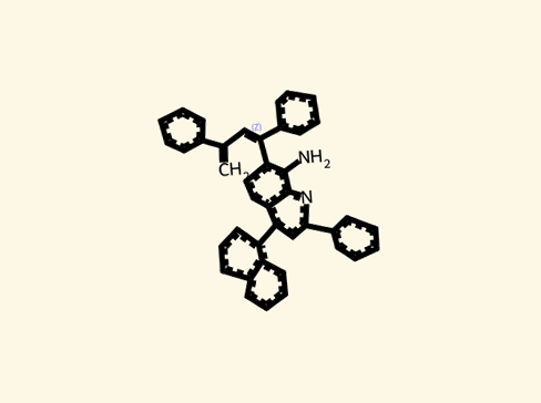 C=C(/C=C(/c1ccccc1)c1ccc2c(-c3cccc4ccccc34)cc(-c3ccccc3)nc2c1N)c1ccccc1